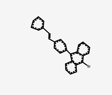 Brc1c2ccccc2c(-c2ccc(C=Cc3ccccc3)cc2)c2ccccc12